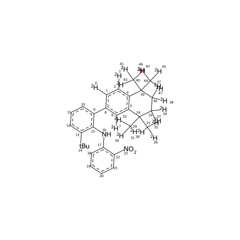 [2H]c1c([2H])c2c(c([2H])c1-c1cccc(C(C)(C)C)c1Nc1ccccc1[N+](=O)[O-])C(C([2H])([2H])[2H])(C([2H])([2H])[2H])C([2H])([2H])C([2H])([2H])C2(C([2H])([2H])[2H])C([2H])([2H])[2H]